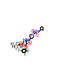 CC(C)(C)OC(=O)C[C@H](NC(=O)C1CCN(C(=O)C(=O)NCC2CCCC2)CC1)C(=O)COc1c(F)c(F)cc(F)c1F